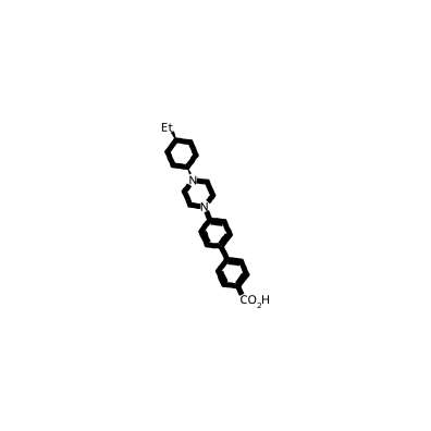 CC[C@H]1CC[C@H](N2CCN(c3ccc(-c4ccc(C(=O)O)cc4)cc3)CC2)CC1